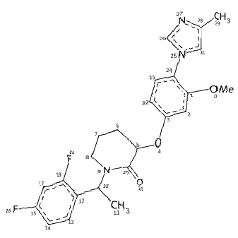 COc1cc(OC2CCCN(C(C)c3ccc(F)cc3F)C2=O)ccc1-n1cnc(C)c1